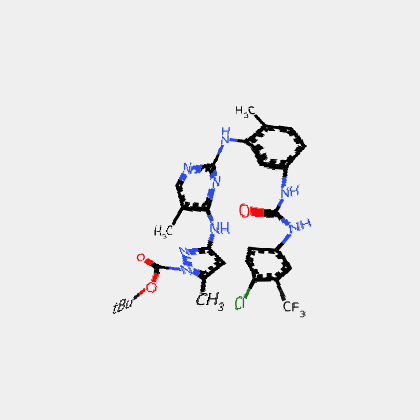 Cc1ccc(NC(=O)Nc2ccc(Cl)c(C(F)(F)F)c2)cc1Nc1ncc(C)c(Nc2cc(C)n(C(=O)OC(C)(C)C)n2)n1